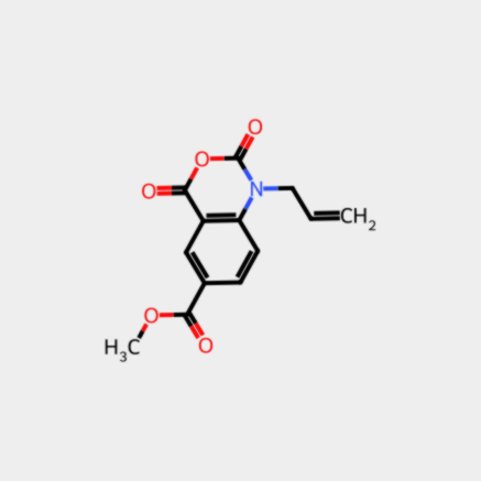 C=CCn1c(=O)oc(=O)c2cc(C(=O)OC)ccc21